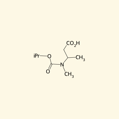 CC(C)OC(=O)N(C)C(C)CC(=O)O